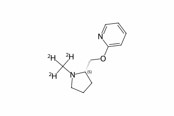 [2H]C([2H])([2H])N1CCC[C@H]1COc1ccccn1